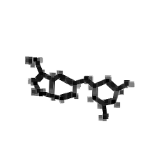 Nc1n[nH]c2ccc(Sc3cc(F)cc(F)c3)cc12